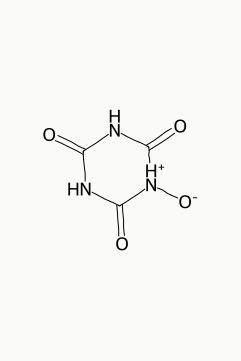 O=C1NC(=O)[NH+]([O-])C(=O)N1